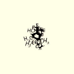 Cc1cc(C(O)(C(F)(F)F)C(F)(F)F)cc(C)c1N(C)C1=NCCO1